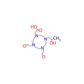 CC(O)CN1CCN(CC=O)CCN(CC=O)CCN(CC(=O)O)CC1